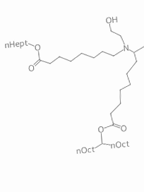 CCCCCCCCC(CCCCCCCC)OC(=O)CCCCCCC(C)N(CCO)CCCCCCCC(=O)OCCCCCCC